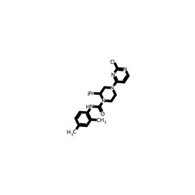 Cc1ccc(NC(=O)N2CCN(c3ccnc(Cl)n3)CC2C(C)C)c(C)c1